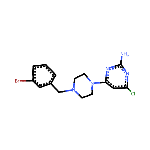 Nc1nc(Cl)cc(N2CCN(Cc3cccc(Br)c3)CC2)n1